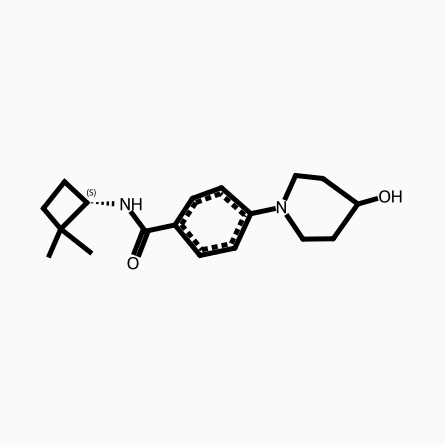 CC1(C)CC[C@@H]1NC(=O)c1ccc(N2CCC(O)CC2)cc1